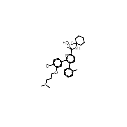 Cc1ccccc1-c1ccc(C(=O)NC2(C(=O)O)CCCCC2)nc1-c1ccc(Cl)c(OCCCN(C)C)c1